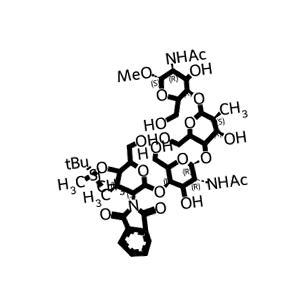 CO[C@H]1OC(CO)[C@H](OC2OC(CO)C(O[C@H]3OC(CO)[C@H](OC4OC(CO)C(O[Si](C)(C)C(C)(C)C)[C@H](C)[C@@H]4N4C(=O)c5ccccc5C4=O)C(O)[C@H]3NC(C)=O)[C@H](O)[C@@H]2C)C(O)[C@H]1NC(C)=O